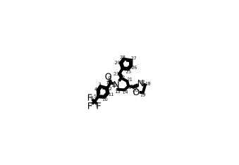 O=C(c1ccc(C(F)(F)F)cc1)N1CCC(C2=NCCO2)CC1=Cc1ccccc1